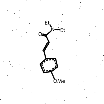 CCN(CC)C(=O)/C=C/c1ccc(OC)cc1